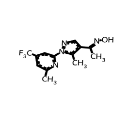 CC(=NO)c1cnn(-c2cc(C(F)(F)F)cc(C)n2)c1C